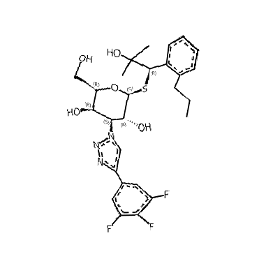 CCCc1ccccc1[C@@H](S[C@@H]1O[C@H](CO)[C@H](O)[C@H](n2cc(-c3cc(F)c(F)c(F)c3)nn2)[C@H]1O)C(C)(C)O